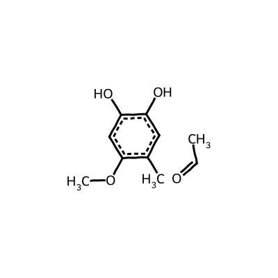 CC=O.COc1cc(O)c(O)cc1C